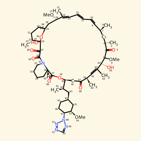 COC1C(=O)[C@@H](C)C[C@H](C)/C=C/C=C/C=C(\C)[C@@H](OC)C[C@@H]2CC[C@@H](C)C(O)(O2)C(=O)C(=O)N2CCCC[C@H]2C(=O)O[C@H]([C@H](C)C[C@@H]2CC[C@H](n3ncnn3)[C@H](OC)C2)CC(=O)[C@H](C)/C=C(\C)[C@H]1O